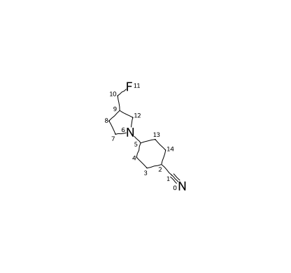 N#CC1CCC(N2CCC(CF)C2)CC1